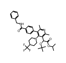 Cc1nc(C)c(C(OC(C)(C)C)C(=O)OC(C)C)c(N2CCC(C(F)(F)F)CC2)c1-c1ccc(C(=O)NCc2ccccc2)cc1